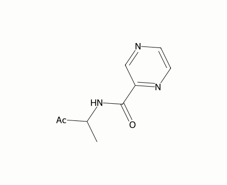 CC(=O)C(C)NC(=O)c1cnccn1